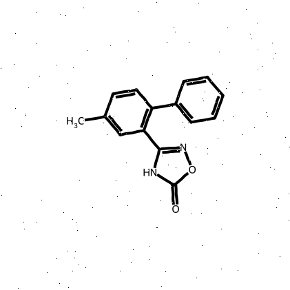 Cc1ccc(-c2ccccc2)c(-c2noc(=O)[nH]2)c1